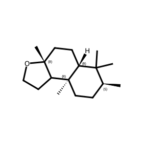 C[C@H]1CC[C@@]2(C)C3CCO[C@]3(C)CC[C@@H]2C1(C)C